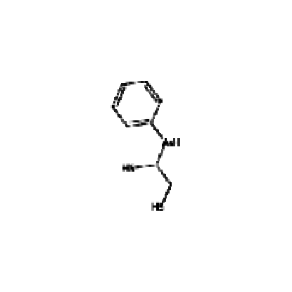 SCC(S)[AsH]c1ccccc1